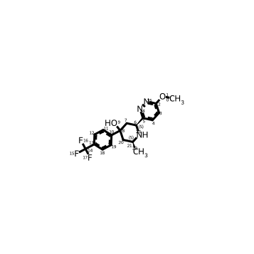 COc1ccc([C@@H]2CC(O)(c3ccc(C(F)(F)F)cc3)C[C@H](C)N2)nn1